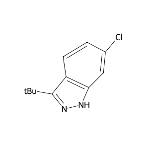 CC(C)(C)c1n[nH]c2cc(Cl)ccc12